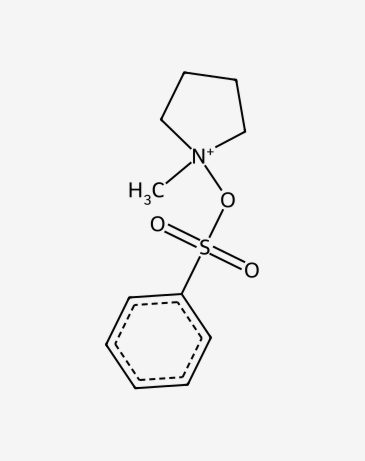 C[N+]1(OS(=O)(=O)c2ccccc2)CCCC1